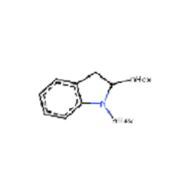 CCCCCCC1Cc2ccccc2N1CCCCCC